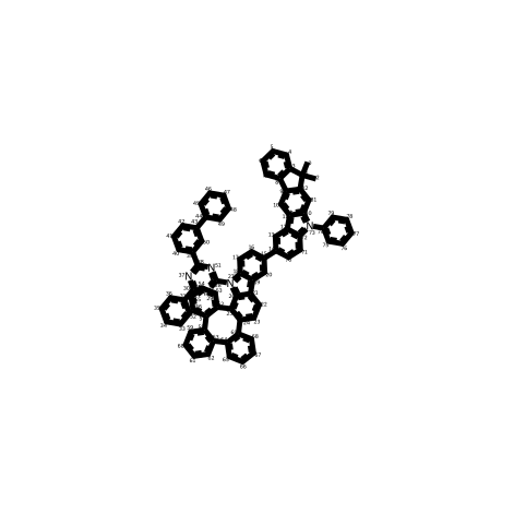 CC1(C)c2ccccc2-c2cc3c4cc(-c5ccc6c(c5)c5ccc7c(c5n6-c5nc(-c6ccccc6)nc(-c6cccc(-c8ccccc8)c6)n5)-c5ccccc5-c5ccccc5-c5ccccc5-7)ccc4n(-c4ccccc4)c3cc21